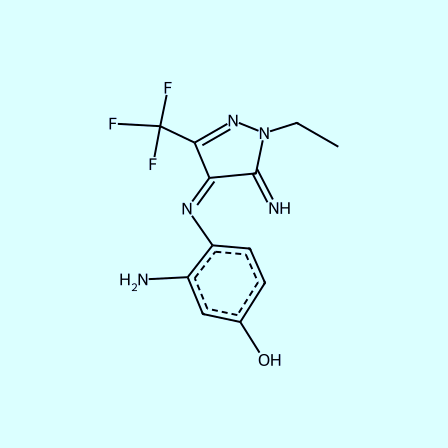 CCN1N=C(C(F)(F)F)C(=Nc2ccc(O)cc2N)C1=N